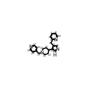 c1ccc(Cc2cn[nH]c2C2CCN(Cc3ccncc3)CC2)nc1